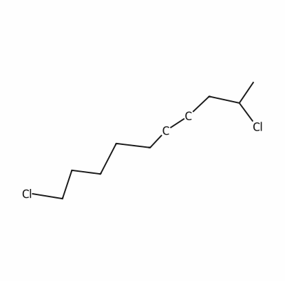 CC(Cl)CCCCCCCCCl